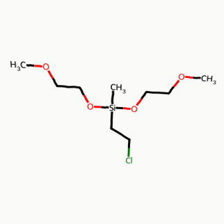 COCCO[Si](C)(CCCl)OCCOC